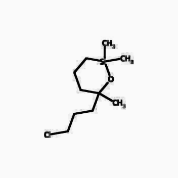 CC1(CCCCl)CCC[Si](C)(C)O1